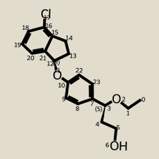 CCO[C@@H](CCO)c1ccc(O[C@@H]2CCc3c(Cl)cccc32)cc1